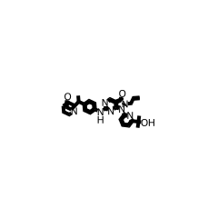 C=CCn1c(=O)c2cnc(Nc3ccc(C(C)C4C(=O)C5CCN4CC5)cc3)nc2n1-c1cccc(C(C)(C)O)n1